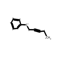 CCC#CCSc1ccccc1